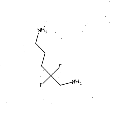 NCCCC(F)(F)CN